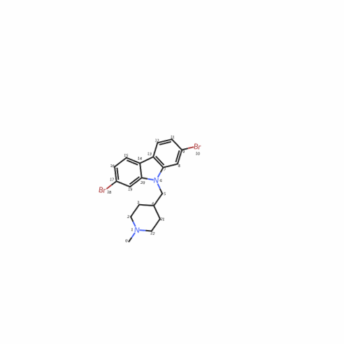 CN1CCC(Cn2c3cc(Br)ccc3c3ccc(Br)cc32)CC1